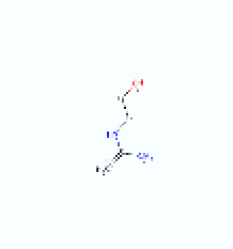 C=C(N)NCCO